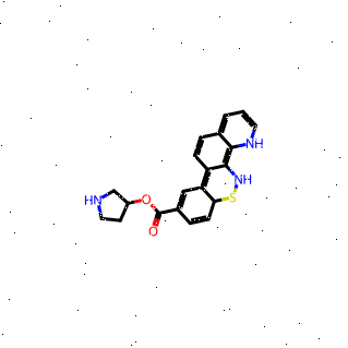 O=C(OC1CCNC1)C1=CC2=c3ccc4c(c3NSC2C=C1)NC=CC=4